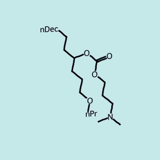 CCCCCCCCCCCCC(CCCOCCC)OC(=O)OCCCN(C)C